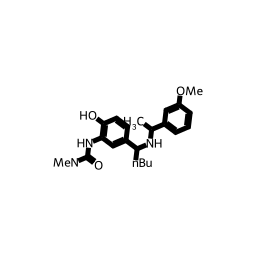 CCCCC(NC(C)c1cccc(OC)c1)c1ccc(O)c(NC(=O)NC)c1